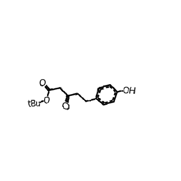 CC(C)(C)OC(=O)CC(=O)CCc1ccc(O)cc1